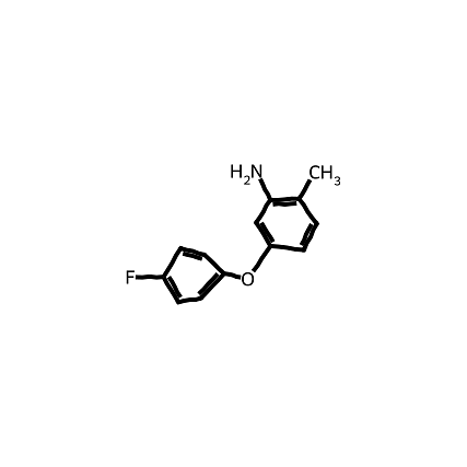 Cc1ccc(Oc2ccc(F)cc2)cc1N